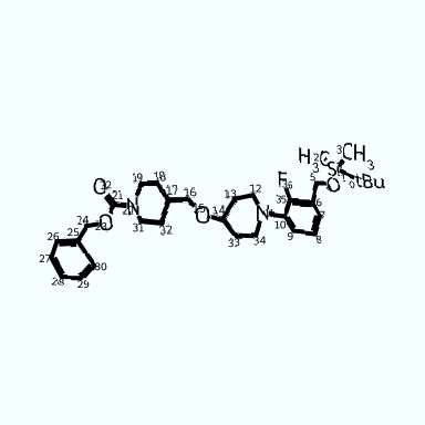 CC(C)(C)[Si](C)(C)OCc1cccc(N2CCC(OCC3CCN(C(=O)OCc4ccccc4)CC3)CC2)c1F